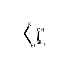 CC[CH2][K].O[SiH3]